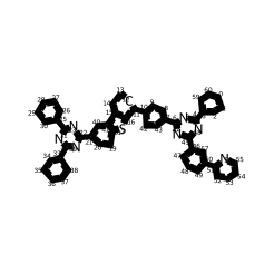 c1ccc(-c2nc(-c3ccc(-c4cccc5c4sc4ccc(-c6nc(-c7ccccc7)nc(-c7ccccc7)n6)cc45)cc3)nc(-c3cccc(-c4ccccn4)c3)n2)cc1